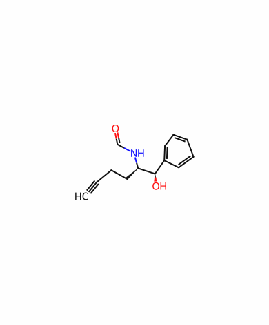 C#CCC[C@@H](NC=O)[C@H](O)c1ccccc1